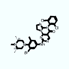 Cc1cc(Nc2ncc3c(n2)N2CCN=C2N(c2c(Cl)cccc2Cl)C3=O)cc(Br)c1N1C[C@@H](C)N(C)[C@@H](C)C1